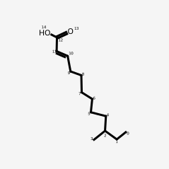 CCC(C)CCCCCCC=CC(=O)O